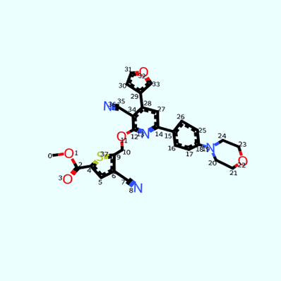 COC(=O)c1cc(C#N)c(COc2nc(-c3ccc(N4CCOCC4)cc3)cc(-c3ccoc3)c2C#N)s1